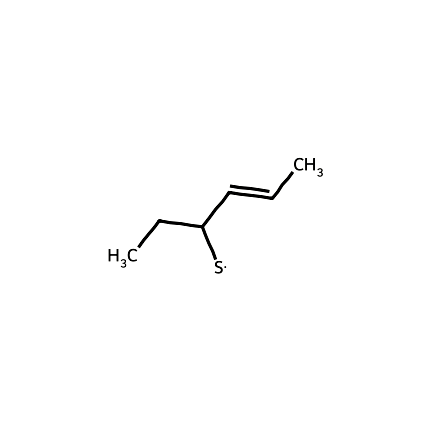 CC=CC([S])CC